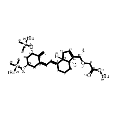 C=C1C(=CC=C2CCC[C@]3(C)C([C@H](C)OCC(=O)OC(C)(C)C)=CC[C@@H]23)C[C@@H](O[Si](C)(C)C(C)(C)C)C[C@@H]1O[Si](C)(C)C(C)(C)C